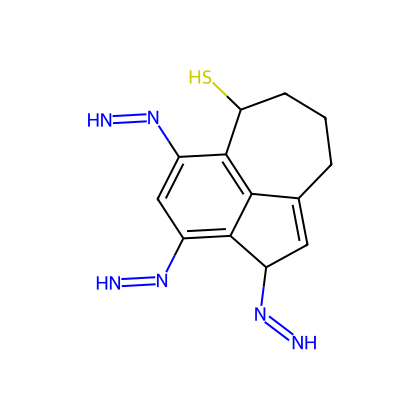 N=Nc1cc(N=N)c2c3c1C(S)CCCC3=CC2N=N